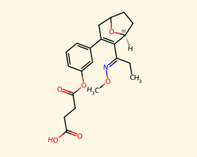 CCC(=NOC)C1=C(c2cc[c]c(OC(=O)CCC(=O)O)c2)CC2CC[C@@H]1O2